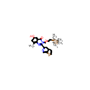 Cc1cc(O)cc2c(=O)n(COCC[SH](C)(C)(C)C)c(-c3cc4ccsc4cn3)nc12